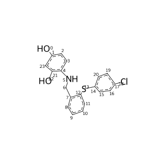 Oc1ccc(NCc2ccccc2Sc2ccc(Cl)cc2)c(O)c1